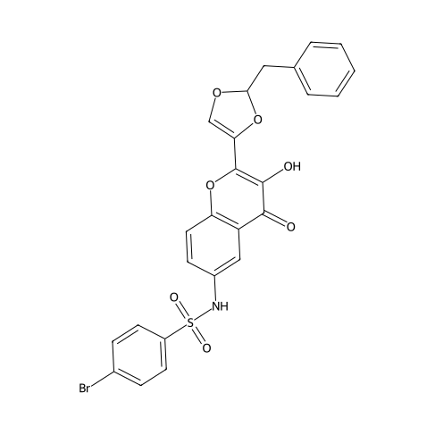 O=c1c(O)c(C2=COC(Cc3ccccc3)O2)oc2ccc(NS(=O)(=O)c3ccc(Br)cc3)cc12